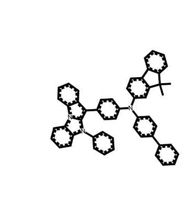 CC1(C)c2ccccc2-c2ccc(N(c3ccc(-c4ccccc4)cc3)c3ccc(-c4c5ccccc5n5c6ccccc6n(-c6ccccc6)c45)cc3)cc21